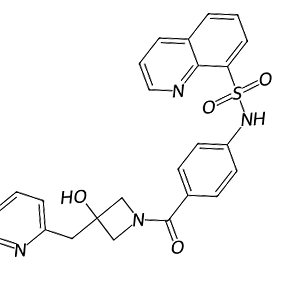 O=C(c1ccc(NS(=O)(=O)c2cccc3cccnc23)cc1)N1CC(O)(Cc2ccccn2)C1